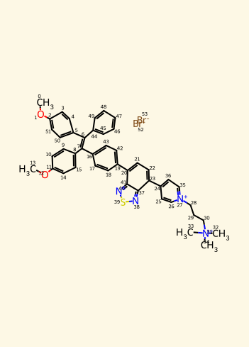 COc1ccc(/C(=C(\c2ccc(OC)cc2)c2ccc(-c3ccc(-c4cc[n+](CCC[N+](C)(C)C)cc4)c4nsnc34)cc2)c2ccccc2)cc1.[Br-].[Br-]